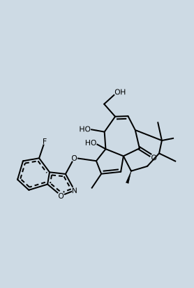 CC1=CC23C(=O)C(C=C(CO)C(O)C2(O)C1Oc1noc2cccc(F)c12)C(C)(C)C(C)C[C@H]3C